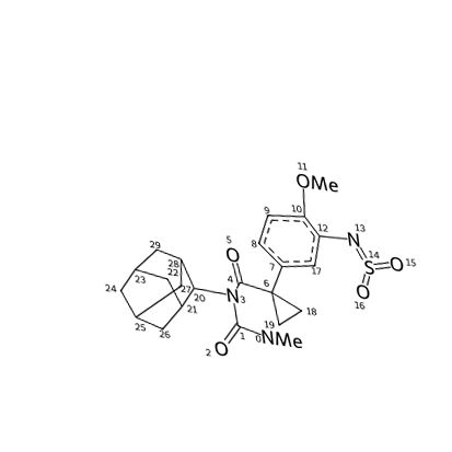 CNC(=O)N(C(=O)C1(c2ccc(OC)c(N=S(=O)=O)c2)CC1)C1C2CC3CC(C2)CC1C3